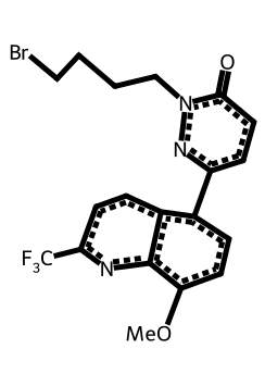 COc1ccc(-c2ccc(=O)n(CCCCBr)n2)c2ccc(C(F)(F)F)nc12